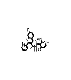 C[C@H](Nc1ncnc2[nH]ccc(=O)c12)c1cc2c(nc1C1=CC=CCN1C)CC(F)C=C2